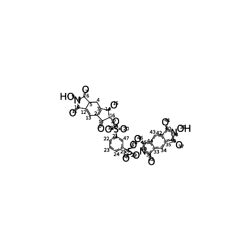 O=C1C2=C(CC3C(=O)N(O)C(=O)C3=C2)C(=O)C1OS(=O)(=O)c1cccc(S(=O)(=O)On2c(=O)c3cc4c(=O)n(O)c(=O)c4cc3c2=O)c1